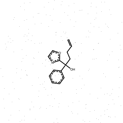 C=CCCC(O)(c1ccccc1)c1ncco1